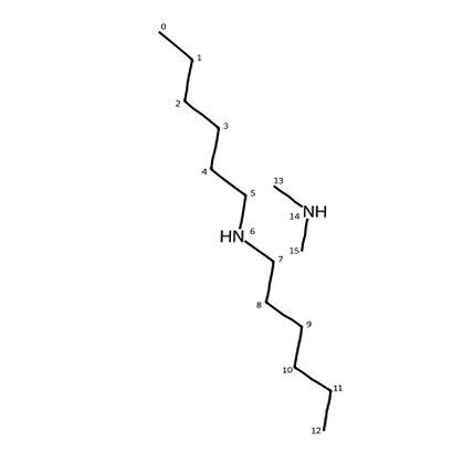 CCCCCCNCCCCCC.CNC